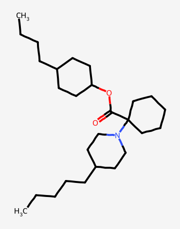 CCCCCC1CCN(C2(C(=O)OC3CCC(CCCC)CC3)CCCCC2)CC1